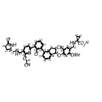 COc1nc(O[C@H]2CCc3c(-c4cccc(-c5ccc(CNC[C@@H]6CCC(=O)N6)c(OCC#N)n5)c4Cl)cccc32)c(Cl)cc1CNC1(C(=O)O)CC1